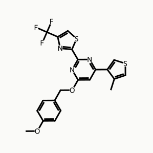 COc1ccc(COc2cc(-c3cscc3C)nc(-c3nc(C(F)(F)F)cs3)n2)cc1